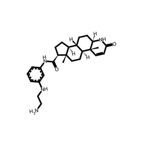 C[C@]12C=CC(=O)N[C@@H]1CC[C@@H]1[C@@H]2CC[C@]2(C)[C@@H](C(=O)Nc3cccc(NCCN)c3)CC[C@@H]12